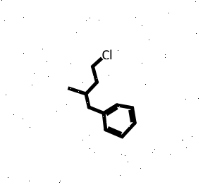 CC(CCCl)Cc1ccccc1